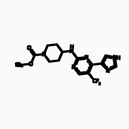 CC(C)(C)OC(=O)N1CCC(Nc2ncc(C(F)(F)F)c(-c3c[nH]cn3)n2)CC1